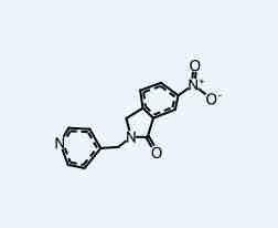 O=C1c2cc([N+](=O)[O-])ccc2CN1Cc1ccncc1